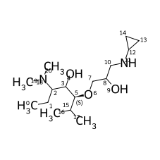 CCC(C(O)[C@@H](OCC(O)CNC1CC1)C(C)C)N(C)C